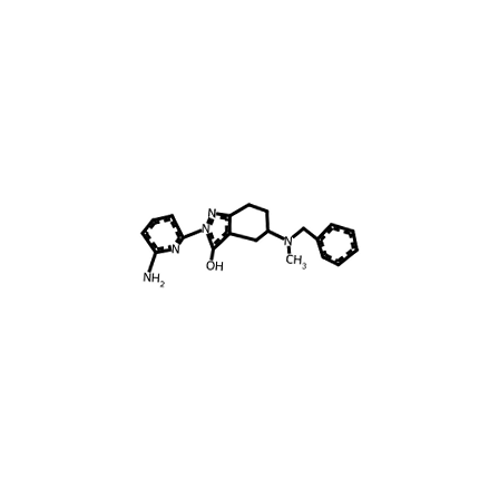 CN(Cc1ccccc1)C1CCc2nn(-c3cccc(N)n3)c(O)c2C1